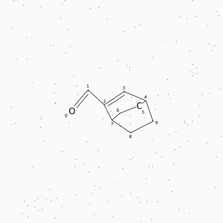 O=[C]C1=CC2CCC1CC2